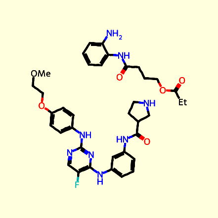 CCC(=O)OCCCC(=O)Nc1ccccc1N.COCCOc1ccc(Nc2ncc(F)c(Nc3cccc(NC(=O)C4CCNC4)c3)n2)cc1